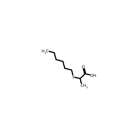 CCCCCCSC(C)C(=O)O